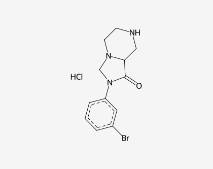 Cl.O=C1C2CNCCN2CN1c1cccc(Br)c1